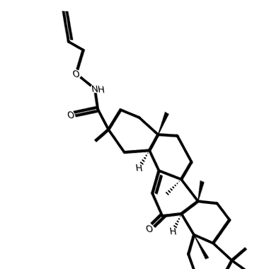 C=CCONC(=O)C1(C)CC[C@]2(C)CC[C@]3(C)C(=CC(=O)[C@@H]4[C@@]5(C)CCCC(C)(C)C5CC[C@]43C)[C@H]2C1